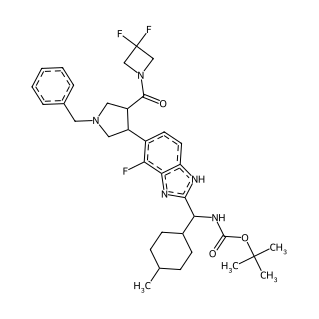 CC1CCC(C(NC(=O)OC(C)(C)C)c2nc3c(F)c(C4CN(Cc5ccccc5)CC4C(=O)N4CC(F)(F)C4)ccc3[nH]2)CC1